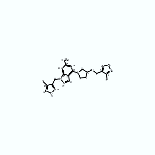 Cc1nonc1COC1CCN(c2nc(C(C)(C)C)nc3c2cnn3Cc2nonc2C)C1